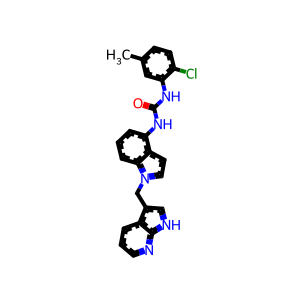 Cc1ccc(Cl)c(NC(=O)Nc2cccc3c2ccn3Cc2c[nH]c3ncccc23)c1